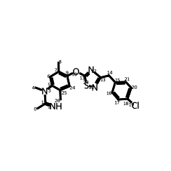 CC(=N)N(C)c1cc(C)c(Oc2nc(Cc3ccc(Cl)cc3)ns2)cc1C